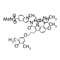 CNS(=O)(=O)c1ccc2c(c1)cc(N1C[C@@H](C)n3c(c(CCCOc4cc(C)c(Cl)c(C)c4)c4ccc(Cl)c(-c5c(C)nn(C)c5C)c43)C1=O)n2C